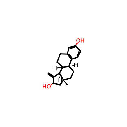 C=C1[C@H](O)C[C@@]2(C)CC[C@@H]3c4ccc(O)cc4CC[C@H]3[C@H]12